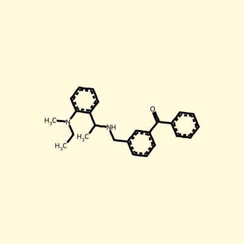 CCN(C)c1ccccc1C(C)NCc1cccc(C(=O)c2ccccc2)c1